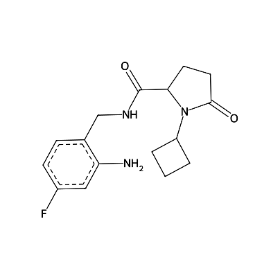 Nc1cc(F)ccc1CNC(=O)C1CCC(=O)N1C1CCC1